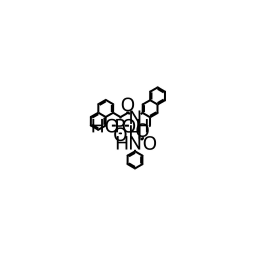 O=C(Nc1ccccc1)OCc1cc2ccccc2cc1NC(=O)C(c1cccc2ccccc12)P(=O)(O)O